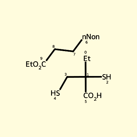 CCC(S)(CS)C(=O)O.CCCCCCCCCCCC(=O)OCC